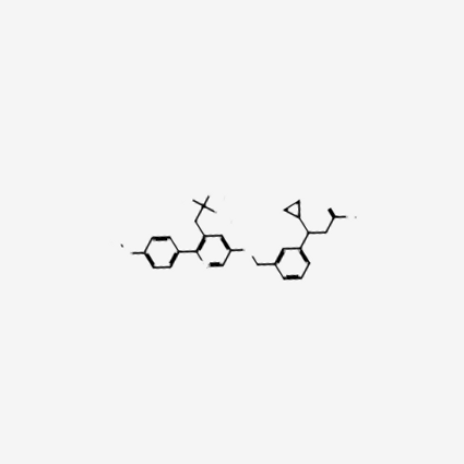 COc1ccc(-c2ncc(OCc3cccc(C(CC(=O)O)C4CC4)c3)cc2CC(C)(C)C)cc1